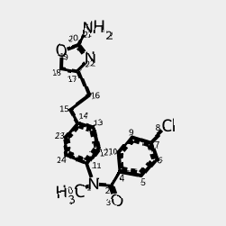 CN(C(=O)c1ccc(Cl)cc1)c1ccc(CCC2COC(N)=N2)cc1